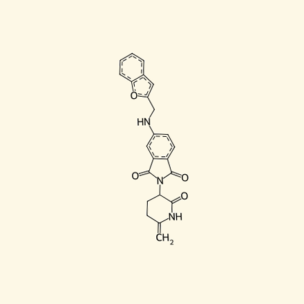 C=C1CCC(N2C(=O)c3ccc(NCc4cc5ccccc5o4)cc3C2=O)C(=O)N1